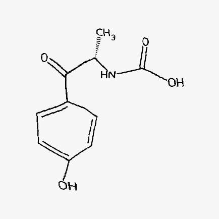 C[C@H](NC(=O)O)C(=O)c1ccc(O)cc1